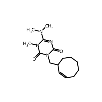 CN(C)c1nc(=O)n(CC2C=CCCCCC2)c(=O)n1C